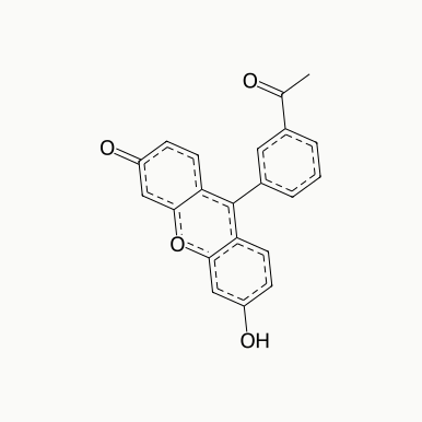 CC(=O)c1cccc(-c2c3ccc(=O)cc-3oc3cc(O)ccc23)c1